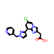 O=C(O)Cc1cn2cc(Cl)cc(-c3ccn(Cc4cccnc4)n3)c2n1